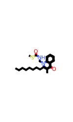 CCCCCCCCc1c(C)c(=O)c2ccccc2n1CNC(=O)SC